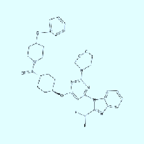 O=C([C@H]1CC[C@H](Oc2cc(-n3c(C(F)F)nc4ccccc43)nc(N3CCOCC3)n2)CC1)N1CCC(Oc2ccncc2)CC1